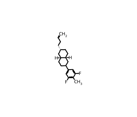 C=CCC[C@@H]1CC[C@@H]2CC(c3cc(F)c(C)c(F)c3)CC[C@@H]2C1